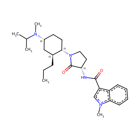 CCC[C@H]1C[C@H](N(C)C(C)C)CC[C@@H]1N1CC[C@H](NC(=O)c2cn(C)c3ccccc23)C1=O